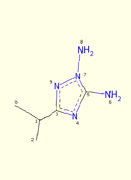 CC(C)c1nc(N)n(N)n1